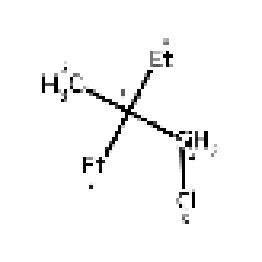 CCC(C)(CC)[SiH2]Cl